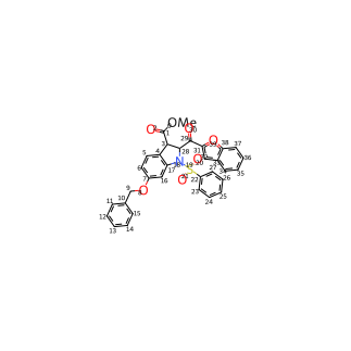 COC(=O)C1c2ccc(OCc3ccccc3)cc2N(S(=O)(=O)c2ccccc2)C1C(=O)c1cc2ccccc2o1